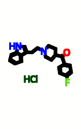 Cl.O=C(c1ccc(F)cc1)C1CCN(CCc2c[nH]c3ccccc23)CC1